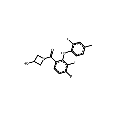 Cc1ccc(Nc2c(C(=O)N3CC(O)C3)ccc(F)c2F)c(F)c1